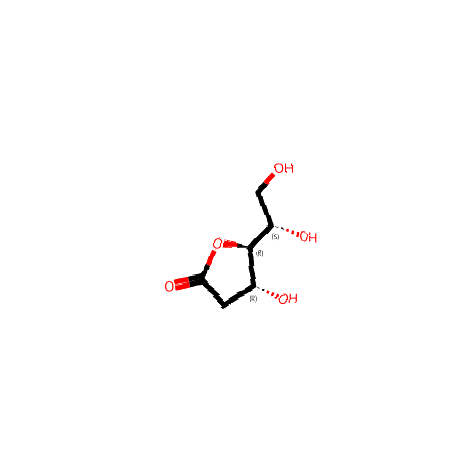 O=C1C[C@@H](O)[C@H]([C@@H](O)CO)O1